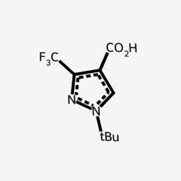 CC(C)(C)n1cc(C(=O)O)c(C(F)(F)F)n1